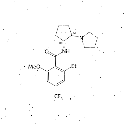 CCc1cc(C(F)(F)F)cc(OC)c1C(=O)N[C@@H]1CCC[C@@H]1N1CCCC1